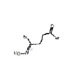 O=C(Br)CC/C(Br)=N/O